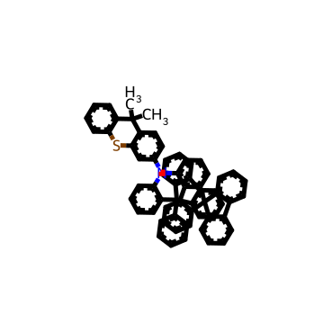 CC1(C)c2ccccc2Sc2cc(N(c3ccccc3C3(c4ccccc4)c4ccccc4-c4ccccc43)c3cccc4c3-c3ccccc3C43c4ccccc4-c4ccccc43)ccc21